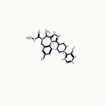 COC(=O)N1Cc2cc(Cl)ccc2-n2c(C3CCN(c4ncncc4F)CC3)nnc2C1C